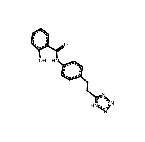 O=C(Nc1ccc(CCc2nnn[nH]2)cc1)c1ccccc1O